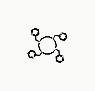 c1ccc(CN2CCCN(Cc3ccccn3)CCN(Cc3ccccn3)CCCN(Cc3ccccn3)CC2)nc1